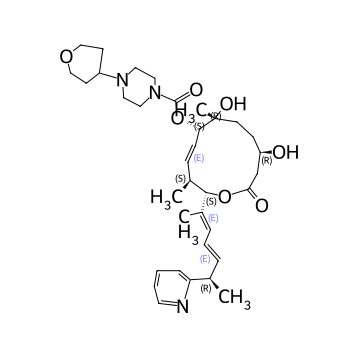 C/C(=C\C=C\[C@@H](C)c1ccccn1)[C@H]1OC(=O)C[C@H](O)CC[C@@](C)(O)[C@@H](OC(=O)N2CCN(C3CCOCC3)CC2)/C=C/[C@@H]1C